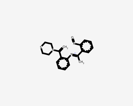 C=C(c1ccccc1/N=C(\C)c1ccccc1N=O)N1CCSCC1